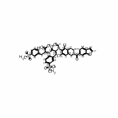 CS(=O)(=O)c1cccc(CC(NC(=O)C(Cc2cccc(S(C)(=O)=O)c2)N(C=O)c2c(Cl)cc3c(c2Cl)CCN(C(=O)c2ccc4ccoc4c2)C3)C(=O)O)c1